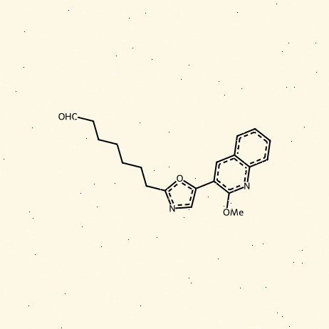 COc1nc2ccccc2cc1-c1cnc(CCCCCCC=O)o1